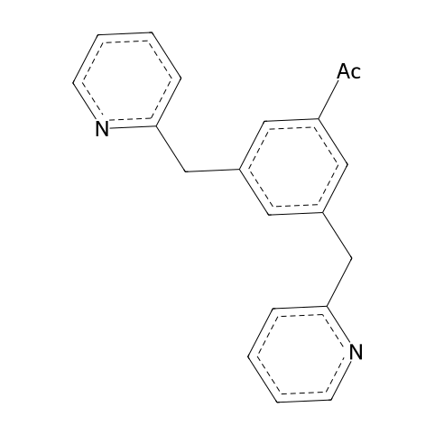 CC(=O)c1cc(Cc2ccccn2)cc(Cc2ccccn2)c1